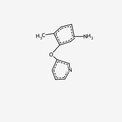 Cc1ccc(N)cc1Oc1cccnc1